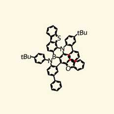 CC(C)(C)c1ccc(N2B3c4ccc5c(sc6ccccc65)c4N(c4ccc(C(C)(C)C)cc4-c4ccccc4)c4cc5c(oc6ccccc65)c(c43)-c3cc(-c4ccccc4)ccc32)cc1